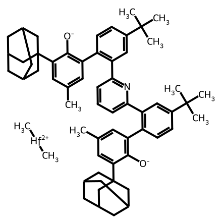 Cc1cc(-c2ccc(C(C)(C)C)cc2-c2cccc(-c3cc(C(C)(C)C)ccc3-c3cc(C)cc(C45CC6CC(CC(C6)C4)C5)c3[O-])n2)c([O-])c(C23CC4CC(CC(C4)C2)C3)c1.[CH3][Hf+2][CH3]